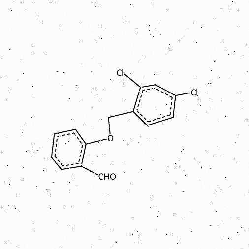 O=Cc1ccccc1OCc1ccc(Cl)cc1Cl